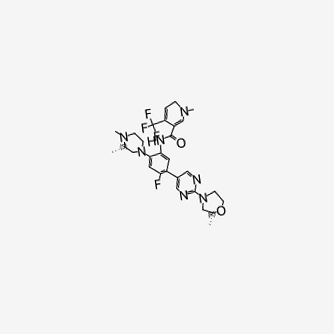 C[C@@H]1CN(c2ncc(-c3cc(NC(=O)C4=CN(C)CC=C4C(F)(F)F)c(N4CCN(C)[C@@H](C)C4)cc3F)cn2)CCO1